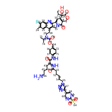 CC[C@@]1(O)C(=O)OCc2c1cc1n(c2=O)Cc2c-1nc1cc(F)c(C)cc1c2CCN(C(=O)OCc1ccc(NC(=O)[C@H](CCCCN)NC(=O)CCCCCn2cc(-c3cnc(S(C)(=O)=O)nc3)nn2)cc1)C(C)C